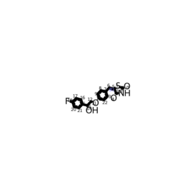 O=C1NC(=O)/C(=C\c2ccc(OCC(O)c3ccc(F)cc3)cc2)S1